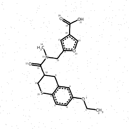 CCOc1ccc2c(c1)CC(C(=O)N(C)Cc1cc(C(=O)O)co1)CS2